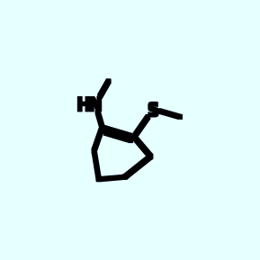 CNC1=C(SC)CCCC1